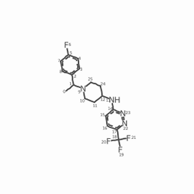 CC(c1ccc(F)cc1)N1CCC(Nc2ccc(C(F)(F)F)nn2)CC1